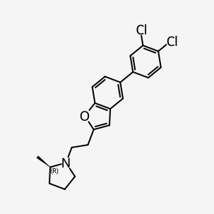 C[C@@H]1CCCN1CCc1cc2cc(-c3ccc(Cl)c(Cl)c3)ccc2o1